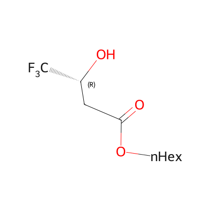 CCCCCCOC(=O)C[C@@H](O)C(F)(F)F